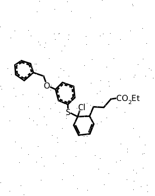 CCOC(=O)CCCC1C=CC=CC1(Cl)Sc1cccc(OCc2ccccc2)c1